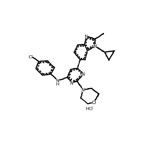 Cc1nc2ccc(-c3cc(Nc4ccc(Cl)cc4)nc(N4CCOCC4)n3)cc2n1C1CC1.Cl